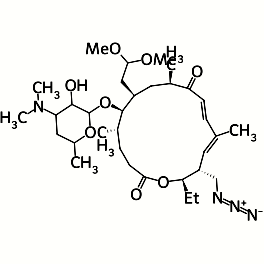 CC[C@H]1OC(=O)CC[C@H](C)[C@@H](OC2OC(C)CC(N(C)C)C2O)[C@@H](CC(OC)OC)C[C@@H](C)C(=O)/C=C/C(C)=C/[C@@H]1CN=[N+]=[N-]